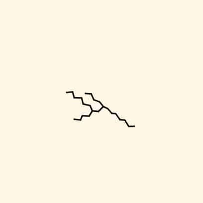 CCCCCCCC(CCCC)CC(CCCC)CCCCCC